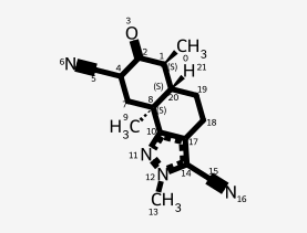 C[C@@H]1C(=O)C(C#N)C[C@]2(C)c3nn(C)c(C#N)c3CC[C@@H]12